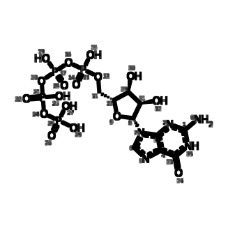 Nc1nc2c(ncn2[C@@H]2O[C@H](COP(=O)(O)OP(=O)(O)OP(=O)(O)OP(=O)(O)O)[C@@H](O)[C@H]2O)c(=O)[nH]1